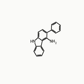 Nc1c(-c2ccccc2)ccc2[nH]c3ccccc3c12